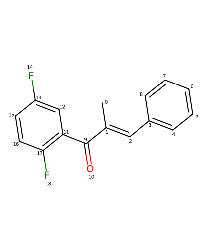 C/C(=C\c1ccccc1)C(=O)c1cc(F)ccc1F